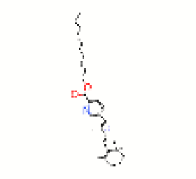 CCCCCCCCCCOC(=O)c1ccc(/C=C(\C)C=CC2=C(C)CCCC2(C)C)cn1